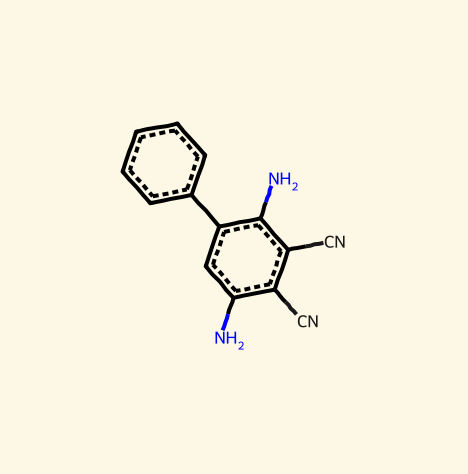 N#Cc1c(N)cc(-c2ccccc2)c(N)c1C#N